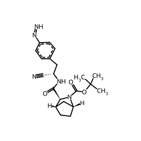 CC(C)(C)OC(=O)N1[C@@H]2CC[C@@H](C2)[C@H]1C(=O)N[C@H](C#N)Cc1ccc(N=N)cc1